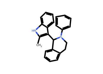 Cc1[nH]c2ccccc2c1C1c2ccccc2CCN1c1ccccc1